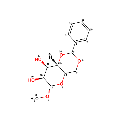 CO[C@H]1OC2COC(c3ccccc3)O[C@H]2[C@H](O)[C@@H]1O